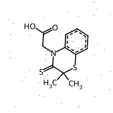 CC1(C)Sc2ccccc2N(CC(=O)O)C1=S